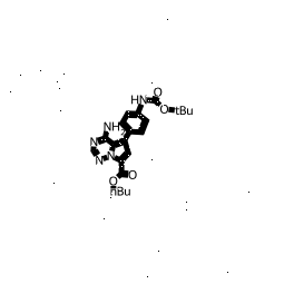 CCCCOC(=O)c1cc(-c2ccc(NC(=O)OC(C)(C)C)cc2)c2c(N)ncnn12